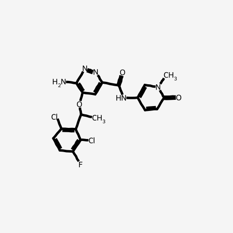 CC(Oc1cc(C(=O)Nc2ccc(=O)n(C)c2)nnc1N)c1c(Cl)ccc(F)c1Cl